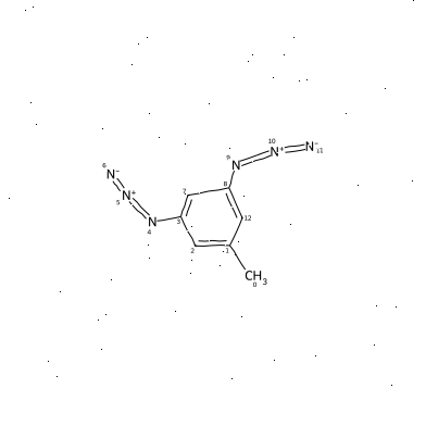 Cc1cc(N=[N+]=[N-])cc(N=[N+]=[N-])c1